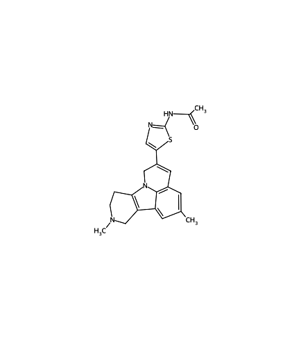 CC(=O)Nc1ncc(C2=Cc3cc(C)cc4c5c(n(c34)C2)CCN(C)C5)s1